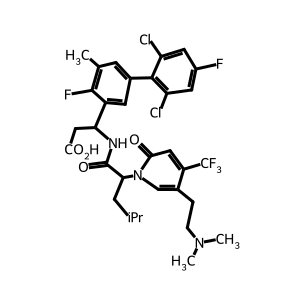 Cc1cc(-c2c(Cl)cc(F)cc2Cl)cc(C(CC(=O)O)NC(=O)C(CC(C)C)n2cc(CCN(C)C)c(C(F)(F)F)cc2=O)c1F